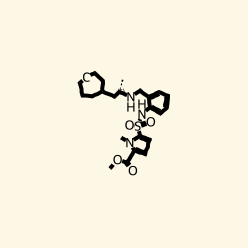 COC(=O)c1ccc(S(=O)(=O)Nc2ccccc2CN[C@@H](C)CC2CCCCCC2)n1C